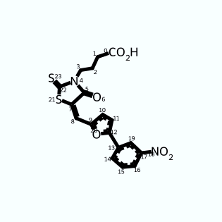 O=C(O)CCCN1C(=O)/C(=C\c2ccc(-c3cccc([N+](=O)[O-])c3)o2)SC1=S